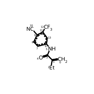 C=C(CC)C(=O)Nc1ccc(C#N)c(C(F)(F)F)c1